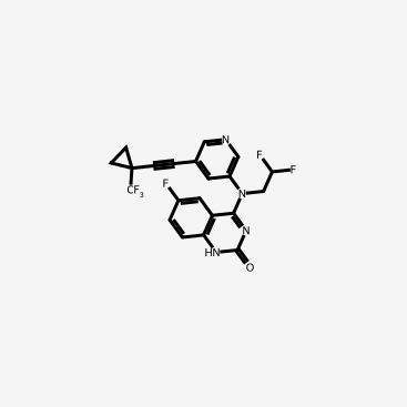 O=c1nc(N(CC(F)F)c2cncc(C#CC3(C(F)(F)F)CC3)c2)c2cc(F)ccc2[nH]1